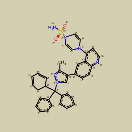 Cc1nn(C(c2ccccc2)(c2ccccc2)C2C=CC=CC2)cc1-c1ccc2nccc(N3C=CN(S(N)(=O)=O)C=C3)c2c1